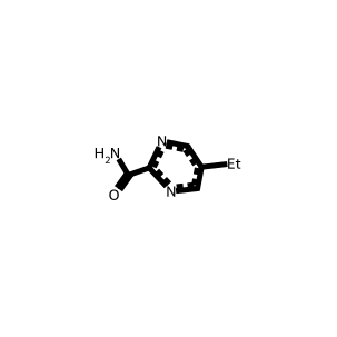 CCc1cnc(C(N)=O)nc1